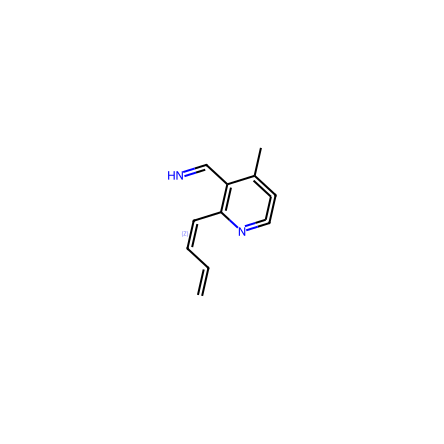 C=C/C=C\C1=C(C=N)C(C)=C=C=N1